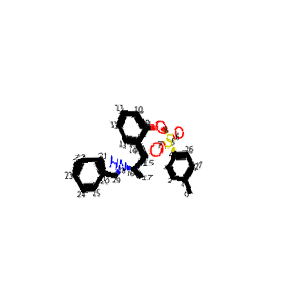 Cc1ccc(S(=O)(=O)Oc2ccccc2CC(C)NCc2ccccc2)cc1